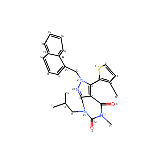 Cc1ccsc1-c1c2c(=O)n(C)c(=O)n(CC(C)C)c2nn1Cc1cccc2ccccc12